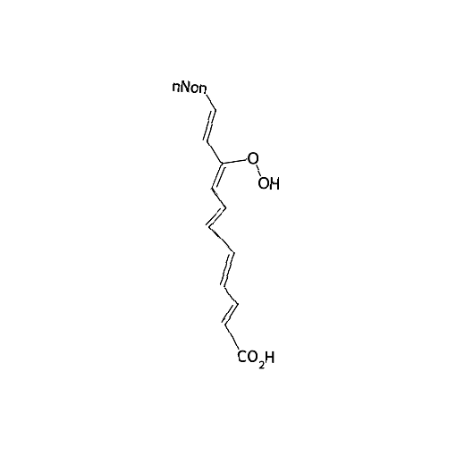 CCCCCCCCCC=CC(=CC=CC=CC=CC(=O)O)OO